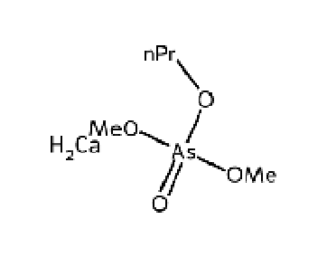 CCCO[As](=O)(OC)OC.[CaH2]